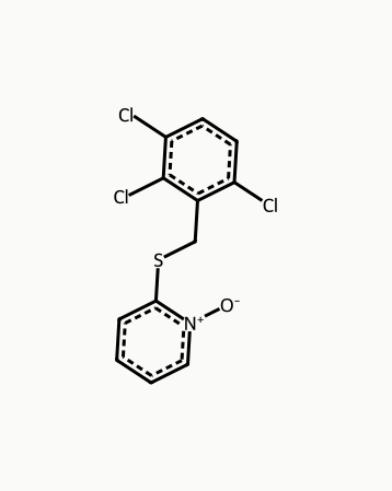 [O-][n+]1ccccc1SCc1c(Cl)ccc(Cl)c1Cl